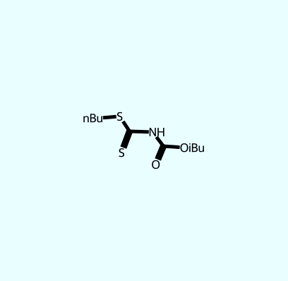 CCCCSC(=S)NC(=O)OCC(C)C